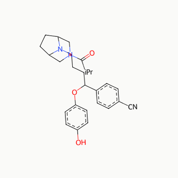 CC(C)C(=O)N1CC2CCC(C1)N2CCCC(Oc1ccc(O)cc1)c1ccc(C#N)cc1